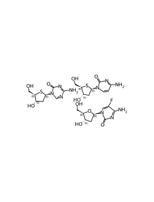 Nc1ccn([C@H]2C[C@H](O)[C@@H](CO)S2)c(=O)n1.Nc1nc(=O)n([C@H]2C[C@H](O)[C@@H](CO)O2)cc1F.Nc1ncn([C@H]2C[C@H](O)[C@@H](CO)S2)c(=O)n1